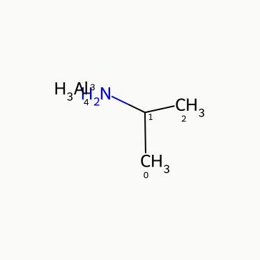 CC(C)N.[AlH3]